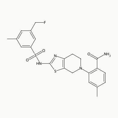 Cc1cc(CF)cc(S(=O)(=O)Nc2nc3c(s2)CN(c2cc(C)ccc2C(N)=O)CC3)c1